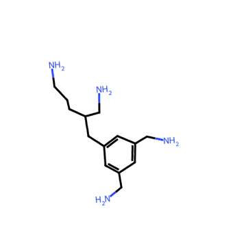 NCCCC(CN)Cc1cc(CN)cc(CN)c1